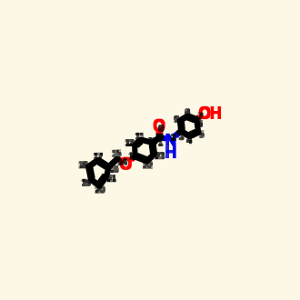 O=C(Nc1ccc(O)cc1)c1ccc(OCc2ccccc2)cc1